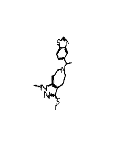 CC(c1ccc2scnc2c1)N1CCc2c(SI)nn(C)c2CC1